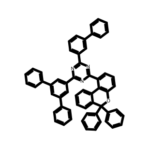 c1ccc(-c2cccc(-c3nc(-c4cc(-c5ccccc5)cc(-c5ccccc5)c4)nc(-c4cccc5c4-c4ccccc4C(c4ccccc4)(c4ccccc4)O5)n3)c2)cc1